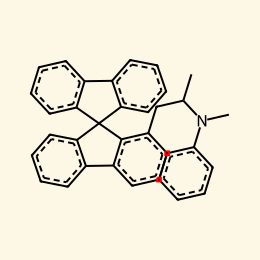 CC(Cc1cccc2c1C1(c3ccccc3-c3ccccc31)c1ccccc1-2)N(C)c1ccccc1